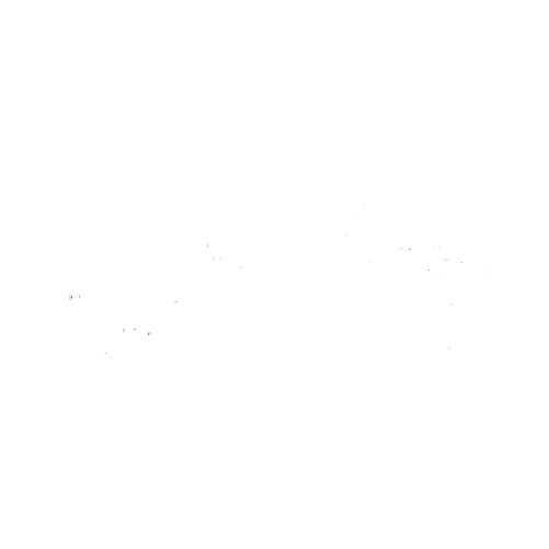 CC(C)CCC[C@@H](C)[C@H]1CCC2C3CC=C4CC(OC(=O)OC5CC[C@@]6(C)C(=CCC7C6CC[C@@]6(C)C7CC[C@@H]6[C@H](C)CCCC(C)C)C5)CC[C@]4(C)C3CC[C@@]21C